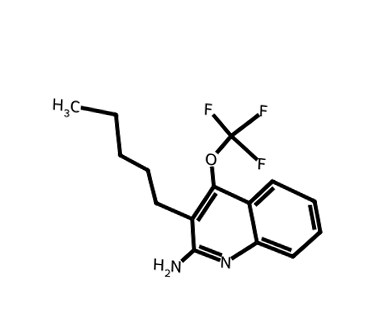 CCCCCc1c(N)nc2ccccc2c1OC(F)(F)F